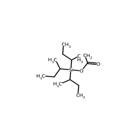 [CH2]C(=O)O[Si](C(C)CC)(C(C)CC)C(C)CC